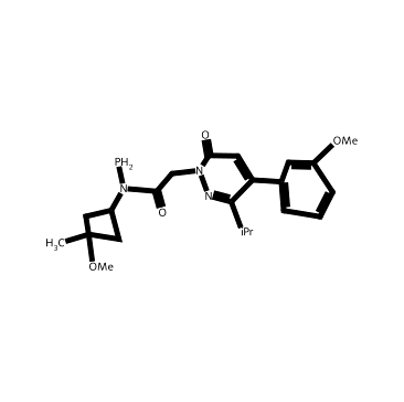 COc1cccc(-c2cc(=O)n(CC(=O)N(P)C3CC(C)(OC)C3)nc2C(C)C)c1